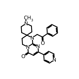 CN1CCC2(CC1)CCn1c(nc(-c3ccncc3)cc1=O)N2CC(=O)c1ccccc1